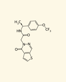 C[C@H](NC(=O)Cn1ncc2sccc2c1=O)c1ccc(OC(F)(F)F)cc1